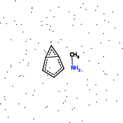 CN.c1cc2cc-2c1